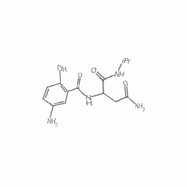 CC(C)NC(=O)C(CC(N)=O)NC(=O)c1cc(N)ccc1O